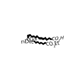 CCCCCCCC/C=C\CCCCCCCCCCCC(=O)O.CCCCCCCCCCCCCCCCCC(=O)OCC